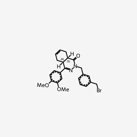 COc1ccc(C2=NN(Cc3cccc(CBr)c3)C(=O)[C@H]3CC=CC[C@@H]23)cc1OC